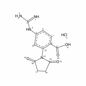 Cl.N=C(N)Nc1ccc(C(=O)O)c(N2C(=O)CCC2=O)c1